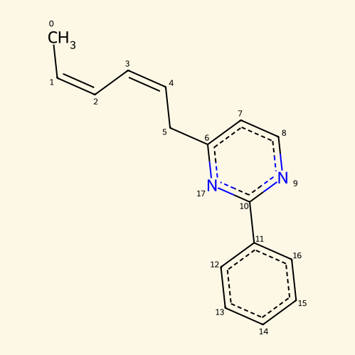 C/C=C\C=C/Cc1ccnc(-c2ccccc2)n1